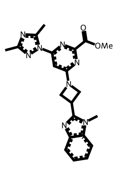 COC(=O)c1nc(N2CC(c3nc4ccccc4n3C)C2)cc(-n2nc(C)nc2C)n1